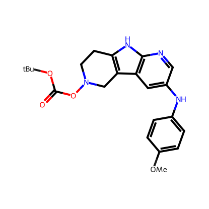 COc1ccc(Nc2cnc3[nH]c4c(c3c2)CN(OC(=O)OC(C)(C)C)CC4)cc1